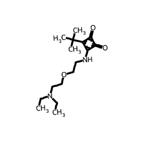 CCN(CC)CCOCCNc1c(C(C)(C)C)c(=O)c1=O